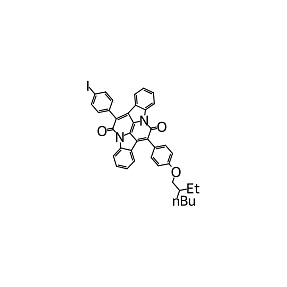 CCCCC(CC)COc1ccc(-c2c(=O)n3c4ccccc4c4c(-c5ccc(I)cc5)c(=O)n5c6ccccc6c2c5c43)cc1